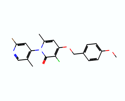 COc1ccc(COc2cc(C)n(-c3cc(Br)ncc3C)c(=O)c2Cl)cc1